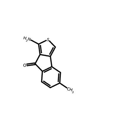 Cc1ccc2c(c1)-c1csc(N)c1C2=O